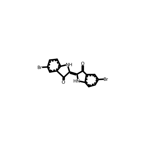 O=C1C(=C2Nc3ccc(Br)cc3C2=O)Nc2ccc(Br)cc21